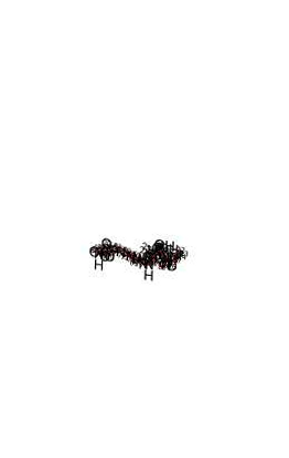 [2H]C([2H])([2H])n1cc(-c2ccnc(N3CCn4c(cc5c4CC(C)(C)C5)C3=O)c2COC(C)OP(=O)(O)O)cc(Nc2ccc(N3CCN(C4CCN(c5ccc6c(c5)C(=O)N([C@H]5CCC(=O)NC5=O)C6=O)CC4)C[C@@H]3C)cn2)c1=O